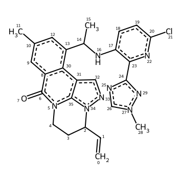 C=CC1CCn2c(=O)c3cc(C)cc(C(C)Nc4ccc(Cl)nc4-c4ncn(C)n4)c3c3cnn1c32